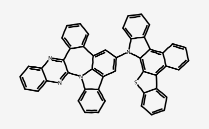 c1ccc2c(c1)-c1nc3ccccc3nc1-n1c3ccccc3c3cc(-n4c5ccccc5c5c6ccccc6c6c7ccccc7sc6c54)cc-2c31